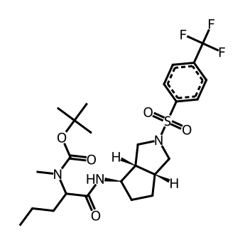 CCCC(C(=O)N[C@@H]1CC[C@H]2CN(S(=O)(=O)c3ccc(C(F)(F)F)cc3)C[C@H]21)N(C)C(=O)OC(C)(C)C